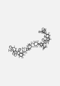 O=C1CCC(N2C(=O)c3cccc(NCC4CC5(CCN(C[C@H]6CC[C@H](n7cc(NC(=O)n8ccc9ccc(N%10C[C@H]%11CC%10CO%11)nc98)c(C(F)F)n7)CC6)CC5)C4)c3C2=O)C(=O)N1